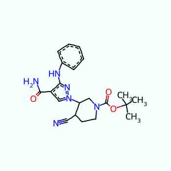 CC(C)(C)OC(=O)N1CCC(C#N)C(n2cc(C(N)=O)c(Nc3ccccc3)n2)C1